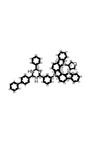 c1ccc(-c2ccc(C3NC(c4cccc(-n5c6ccc7c8ccccc8n8c7c6c6c5ccc5c7ccccc7n(c56)C5COCC58)c4)=NC(c4ccccc4)N3)cc2)cc1